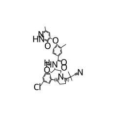 Cc1cc(Oc2ccc(C(=O)NC(CO)C(=O)N3[C@H](c4cccc(Cl)c4)CC[C@@H]3C(C)(C)C#N)cc2C)c(=O)[nH]n1